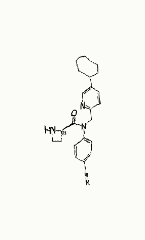 N#Cc1ccc(N(Cc2ccc(C3CCCCC3)cn2)C(=O)[C@H]2CCN2)cc1